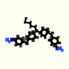 CCCCCC(c1ccc(Cc2ccc(N)cc2)cc1)c1ccc(Cc2ccc(N)cc2)cc1